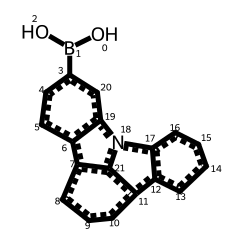 OB(O)c1ccc2c3cccc4c5ccccc5n(c2c1)c43